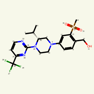 CC(C)[C@@H]1CN(c2ccc(CO)c(S(C)(=O)=O)c2)CCN1c1nccc(C(F)(F)F)n1